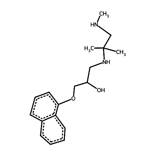 CNCC(C)(C)NCC(O)COc1cccc2ccccc12